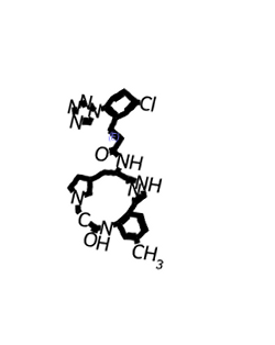 Cc1ccc2c(c1)NC(=O)CCN1CCC(CC(NC(=O)/C=C/c3cc(Cl)ccc3-n3cnnn3)c3nc-2c[nH]3)C1